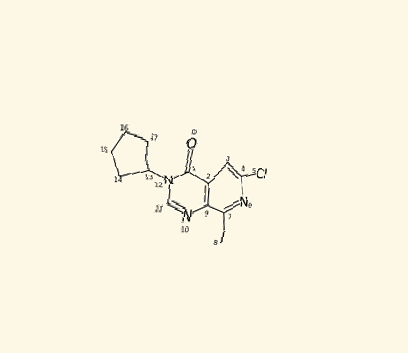 O=c1c2cc(Cl)nc(I)c2ncn1C1CCCC1